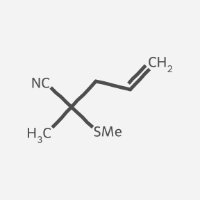 C=CCC(C)(C#N)SC